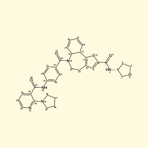 O=C(N[C@@H]1CCOC1)c1cc2c(s1)C1C=CC=CC1N(C(=O)c1ccc(NC(=O)c3cccnc3N3CCCC3)cc1)CC2